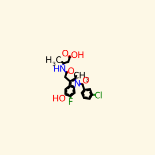 Cc1c(CC(=O)NC(C)CC(=O)O)c2cc(O)c(F)cc2n1C(=O)c1cccc(Cl)c1